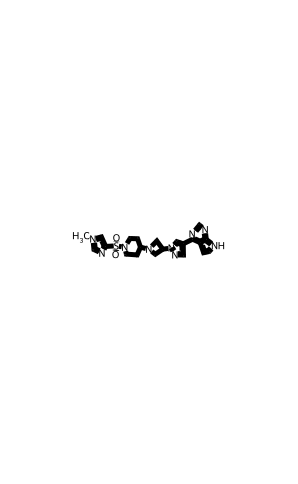 Cn1cnc(S(=O)(=O)N2CCC(N3C[C](n4cc(-c5ncnc6[nH]ccc56)cn4)C3)CC2)c1